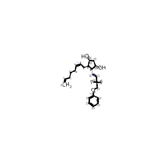 C=CCCC/C=C\C[C@@H]1[C@@H](/C=C/C(F)(F)COc2ccccc2)[C@H](O)C[C@@H]1O